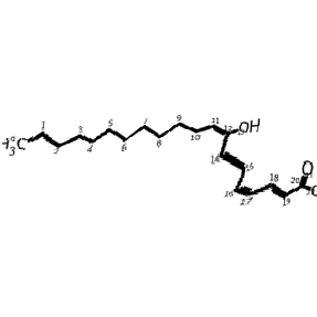 CCCCCCCCCCC\C=C(O)/C=C/C=C\C=C\C(=O)O